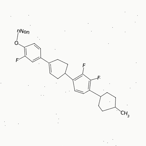 CCCCCCCCCOc1ccc(C2=CCC(c3ccc(C4CCC(C)CC4)c(F)c3F)CC2)cc1F